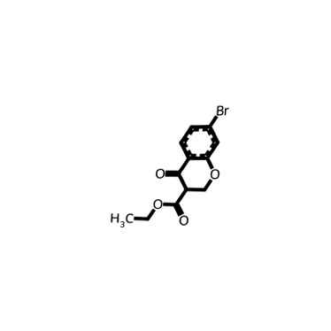 CCOC(=O)C1COc2cc(Br)ccc2C1=O